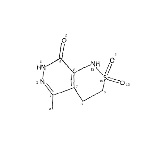 Cc1n[nH]c(=O)c2c1CCS(=O)(=O)N2